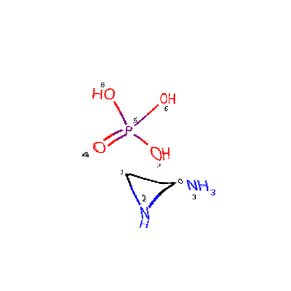 C1CN1.N.O=P(O)(O)O